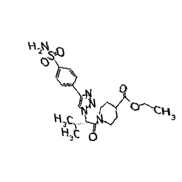 CCOC(=O)C1CCN(C(=O)[C@H](C(C)C)n2cc(-c3ccc(S(N)(=O)=O)cc3)nn2)CC1